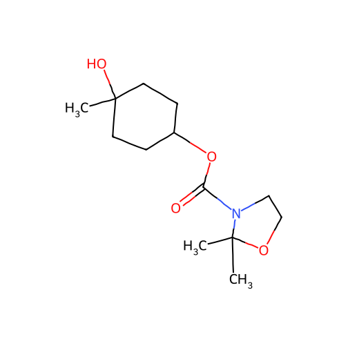 CC1(O)CCC(OC(=O)N2CCOC2(C)C)CC1